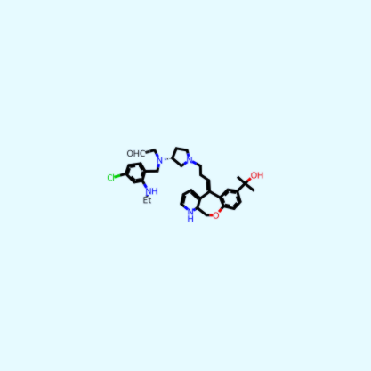 CCNc1cc(Cl)ccc1CN(CC=O)[C@@H]1CCN(CC/C=C2\C3=CC=CNC3COc3ccc(C(C)(C)O)cc32)C1